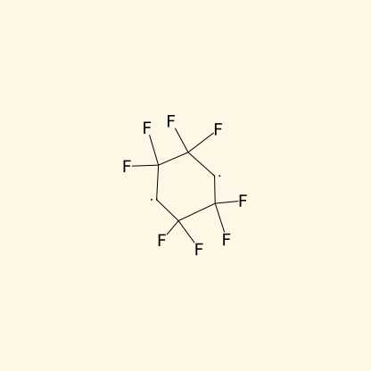 FC1(F)[CH]C(F)(F)C(F)(F)[CH]C1(F)F